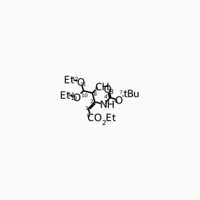 CCOC(=O)/C=C(\NC(=O)OC(C)(C)C)C(C)C(OCC)OCC